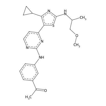 COCC(C)Nc1nc(C2CC2)c(-c2ccnc(Nc3cccc(C(C)=O)c3)n2)s1